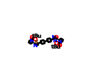 CC(C)(C)OC(=O)N1CCC[C@H]1c1nc(-c2ccc(-c3ccc(-c4cnc([C@@H]5CCCN5C(=O)OC(C)(C)C)s4)cc3)cc2)no1